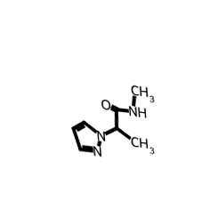 CNC(=O)C(C)n1cccn1